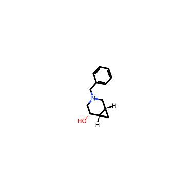 O[C@@H]1CN(Cc2ccccc2)C[C@@H]2C[C@@H]21